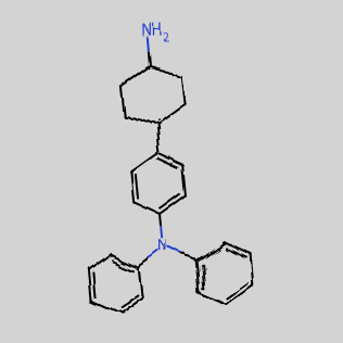 NC1CC[C](c2ccc(N(c3ccccc3)c3ccccc3)cc2)CC1